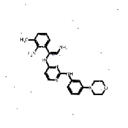 Cc1cccc(/C(=C\N)Nc2ccnc(Nc3cccc(N4CCOCC4)c3)n2)c1N